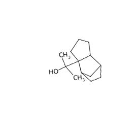 CC(C)(O)C12CCCC1C1CCC2C1